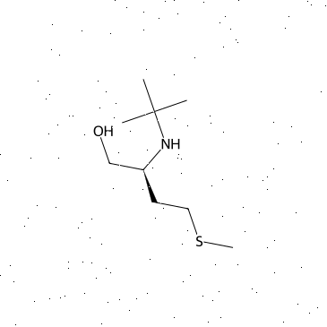 CSCC[C@@H](CO)NC(C)(C)C